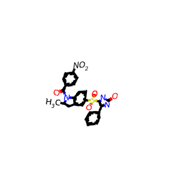 CC1Cc2cc(S(=O)(=O)C3=NC(=O)N=C3c3ccccc3)ccc2N1C(=O)c1ccc([N+](=O)[O-])cc1